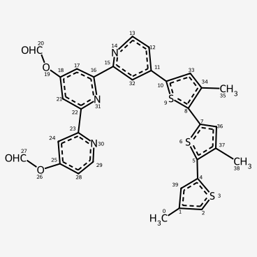 Cc1csc(-c2sc(-c3sc(-c4ccnc(-c5cc(OC=O)cc(-c6cc(OC=O)ccn6)n5)c4)cc3C)cc2C)c1